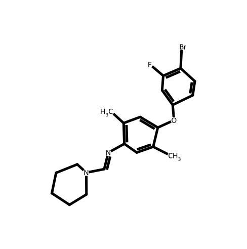 Cc1cc(Oc2ccc(Br)c(F)c2)c(C)cc1N=CN1CCCCC1